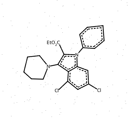 CCOC(=O)c1c(N2CCCCC2)c2c(Cl)cc(Cl)cc2n1-c1ccccc1